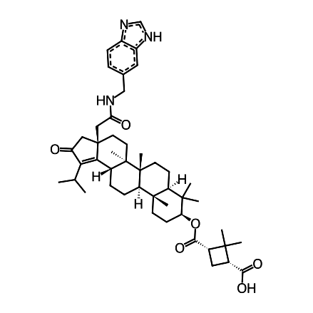 CC(C)C1=C2[C@H]3CC[C@@H]4[C@@]5(C)CC[C@H](OC(=O)[C@H]6C[C@@H](C(=O)O)C6(C)C)C(C)(C)[C@@H]5CC[C@@]4(C)[C@]3(C)CC[C@@]2(CC(=O)NCc2ccc3nc[nH]c3c2)CC1=O